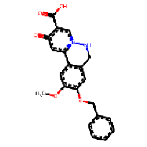 COc1cc2c(cc1OCc1ccccc1)CNn1cc(C(=O)O)c(=O)cc1-2